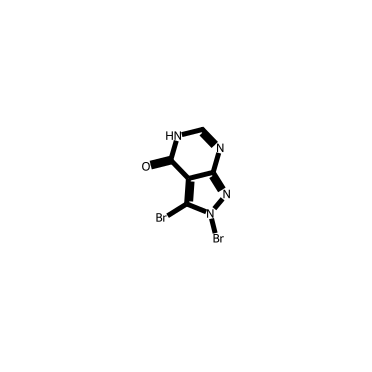 O=c1[nH]cnc2nn(Br)c(Br)c12